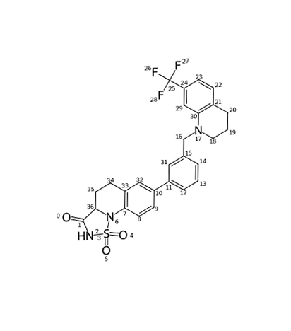 O=C1NS(=O)(=O)N2c3ccc(-c4cccc(CN5CCCc6ccc(C(F)(F)F)cc65)c4)cc3CCC12